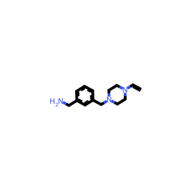 C=CN1CCN(Cc2cccc(CN)c2)CC1